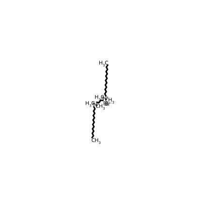 CCCCCCCCCCCCCCCC[N+](C)(C)CCCC[N+](C)(C)CCCCCCCCCCCCCCCC.[Br-].[Br-]